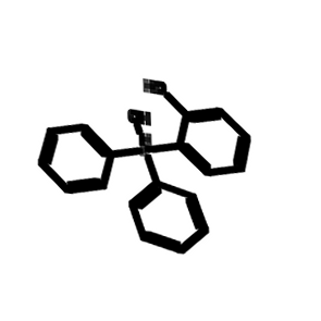 Oc1ccccc1[PH](O)(c1ccccc1)c1ccccc1